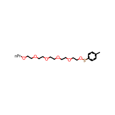 CCCOCCOCCOCCOCCOCCOSc1ccc(C)cc1